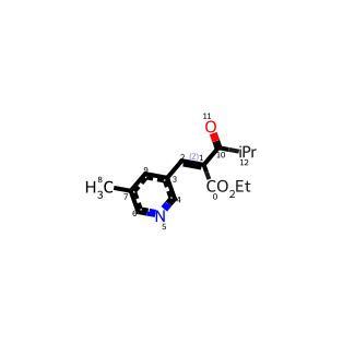 CCOC(=O)/C(=C\c1cncc(C)c1)C(=O)C(C)C